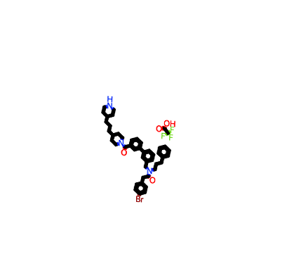 O=C(Cc1ccc(Br)cc1)N(CCCc1ccccc1)Cc1cccc(-c2cccc(C(=O)N3CCC(CCCC4CCNCC4)CC3)c2)c1.O=C(O)C(F)(F)F